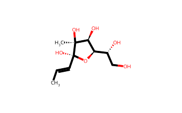 CC=C[C@]1(O)O[C@H]([C@H](O)CO)[C@H](O)[C@]1(C)O